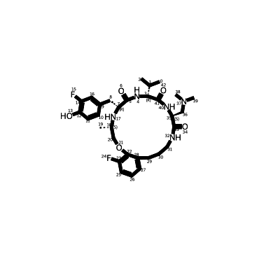 CC(C)[C@H]1NC(=O)[C@@H](Cc2ccc(O)c(F)c2)N[C@@H](C)COc2c(F)cccc2CCCNC(=O)[C@H](CN(C)C)NC1=O